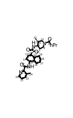 CCCC(=O)N1CC[C@@H](NS(=O)(=O)c2ccc(NC(=O)c3ncccc3C)c3ccccc23)[C@@H](C)C1